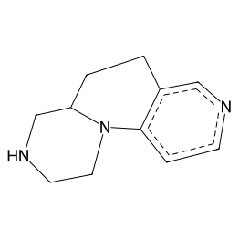 c1cc2c(cn1)CCC1CNCCN21